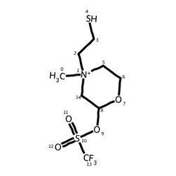 C[N+]1(CCS)CCOC(OS(=O)(=O)C(F)(F)F)C1